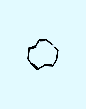 [CH]1/C=C/C=C\C/C=C/C=C\CC1